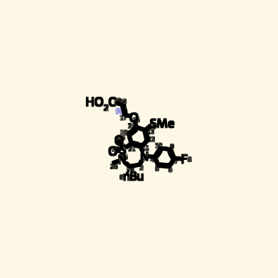 CCCC[C@H]1CN(c2ccc(F)cc2)c2cc(SC)c(O/C=C/C(=O)O)cc2S(=O)(=O)N1C